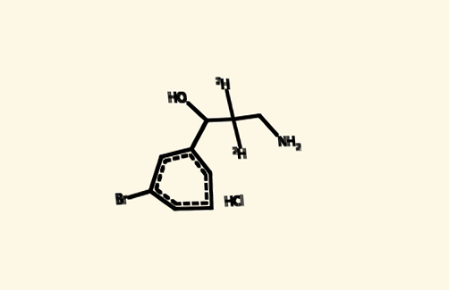 Cl.[2H]C([2H])(CN)C(O)c1cccc(Br)c1